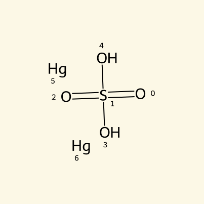 O=S(=O)(O)O.[Hg].[Hg]